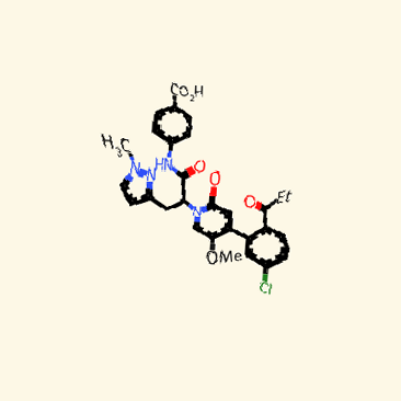 CCC(=O)c1ccc(Cl)cc1-c1cc(=O)n(C(Cc2ccn(C)n2)C(=O)Nc2ccc(C(=O)O)cc2)cc1OC